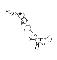 O=C(O)NCc1nc(-c2ccc(-c3cnc4[nH]c(=O)n(CC5CCCCC5)c4n3)cc2)n[nH]1